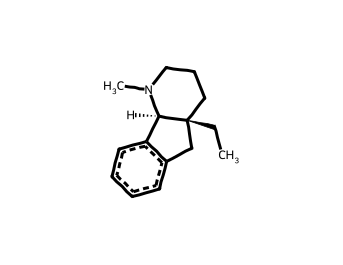 CC[C@]12CCCN(C)[C@@H]1c1ccccc1C2